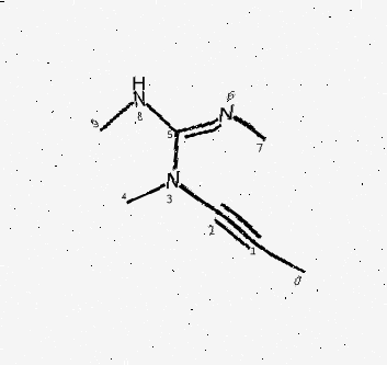 CC#CN(C)/C(=N\C)NC